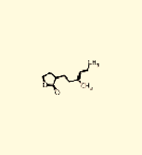 CCC=C(C)CCC1CCOC1=O